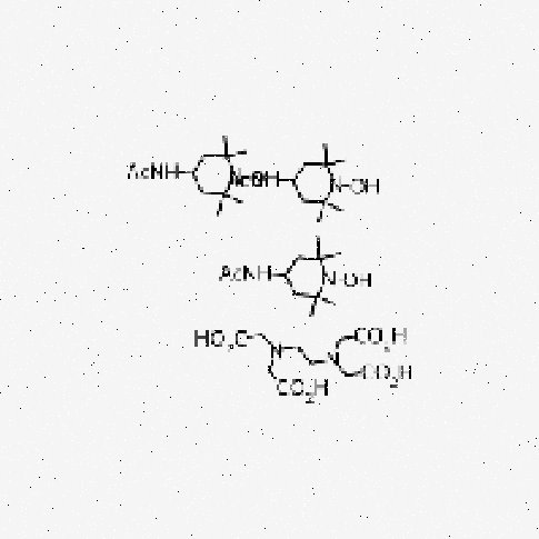 CC(=O)NC1CC(C)(C)N(O)C(C)(C)C1.CC(=O)NC1CC(C)(C)N(O)C(C)(C)C1.CC(=O)NC1CC(C)(C)N(O)C(C)(C)C1.O=C(O)CN(CCN(CC(=O)O)CC(=O)O)CC(=O)O